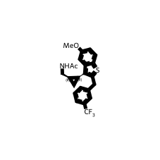 COc1ccc2sc(Cc3cccc(C(F)(F)F)c3)c([C@@H]3C[C@H]3CNC(C)=O)c2c1